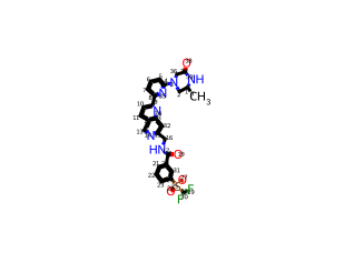 CC1CN(c2cccc(-c3ccc4cnc(CNC(=O)c5cccc(S(=O)(=O)C(F)F)c5)cc4n3)n2)CC(=O)N1